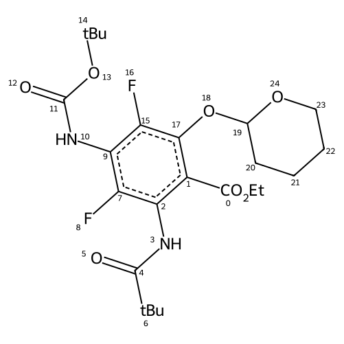 CCOC(=O)c1c(NC(=O)C(C)(C)C)c(F)c(NC(=O)OC(C)(C)C)c(F)c1OC1CCCCO1